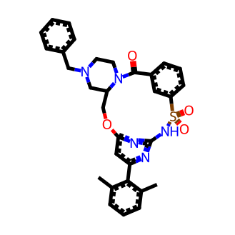 Cc1cccc(C)c1-c1cc2nc(n1)NS(=O)(=O)c1cccc(c1)C(=O)N1CCN(Cc3ccccc3)CC1CO2